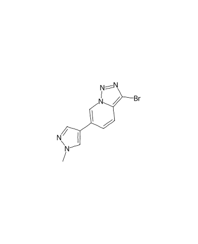 Cn1cc(-c2ccc3c(Br)nnn3c2)cn1